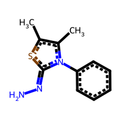 Cc1sc(=NN)n(-c2ccccc2)c1C